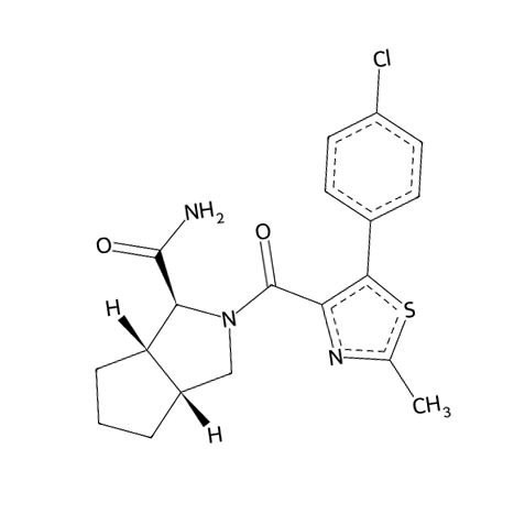 Cc1nc(C(=O)N2C[C@@H]3CCC[C@@H]3[C@H]2C(N)=O)c(-c2ccc(Cl)cc2)s1